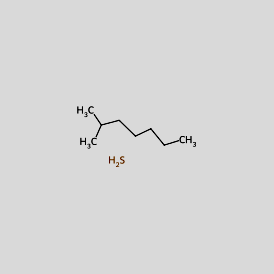 CCCCCC(C)C.S